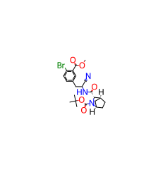 COC(=O)c1cc(CC(C#N)NC(=O)[C@@H]2[C@H]3CC[C@H](C3)N2C(=O)OC(C)(C)C)ccc1Br